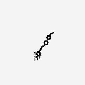 CCCc1ccc([C@H]2CC[C@H](/C=C/C#Cc3cc(F)c(C(F)(F)F)c(F)c3)CC2)cc1